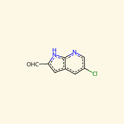 O=Cc1cc2cc(Cl)cnc2[nH]1